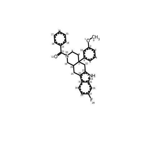 COc1cccc(C23CCN(C(=O)c4ccccc4)CC2Cc2c([nH]c4cc(F)ccc24)C3)c1